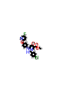 CCOC(=O)c1cn(Cc2ccc(Cl)cc2)c(Nc2ccc(Oc3ccc(F)cn3)cc2)cc1=O